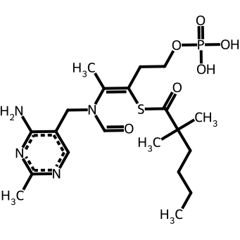 CCCCC(C)(C)C(=O)S/C(CCOP(=O)(O)O)=C(/C)N(C=O)Cc1cnc(C)nc1N